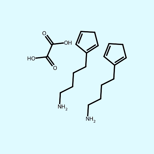 NCCCCC1=CCC=C1.NCCCCC1=CCC=C1.O=C(O)C(=O)O